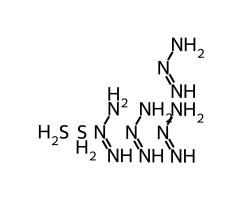 N=NN.N=NN.N=NN.N=NN.S.S